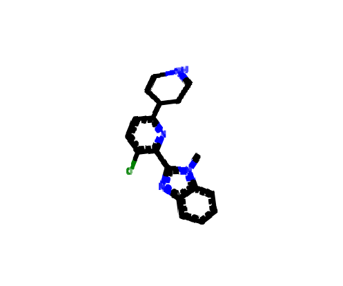 Cn1c(-c2nc(C3CCNCC3)ccc2Cl)nc2ccccc21